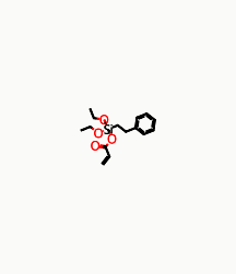 C=CC(=O)O[Si](CCc1ccccc1)(OCC)OCC